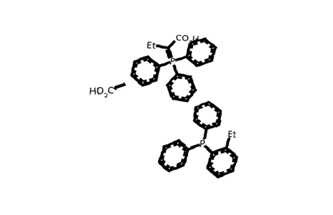 CC(=O)O.CCC(C(=O)O)=P(c1ccccc1)(c1ccccc1)c1ccccc1.CCc1ccccc1P(c1ccccc1)c1ccccc1